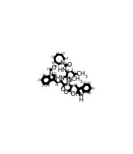 CC(C)C[C@H](NC(=O)N1CCCCCC1)C(=O)N[C@H](Cc1cn(C=O)c2ccccc12)C(=O)N[C@H](Cc1c[nH]c2ccccc12)C(=O)O